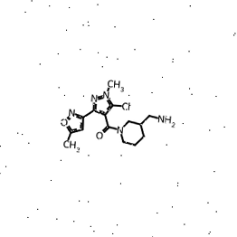 Cc1cc(-c2nn(C)c(Cl)c2C(=O)N2CCCC(CN)C2)no1